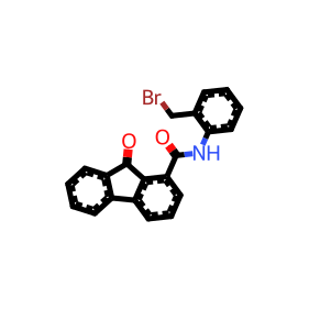 O=C(Nc1ccccc1CBr)c1cccc2c1C(=O)c1ccccc1-2